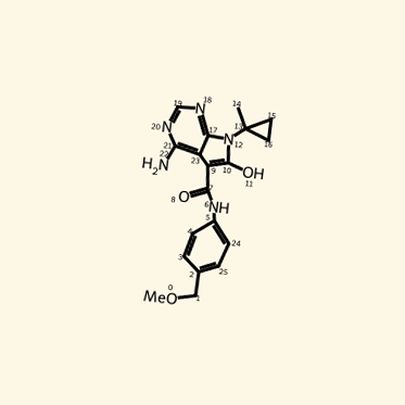 COCc1ccc(NC(=O)c2c(O)n(C3(C)CC3)c3ncnc(N)c23)cc1